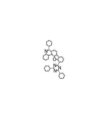 c1ccc(-c2nc(-c3ccccc3)nc(-c3cccc4c3oc3c4ccc4c(-c5ccccc5)nc5ccccc5c43)n2)cc1